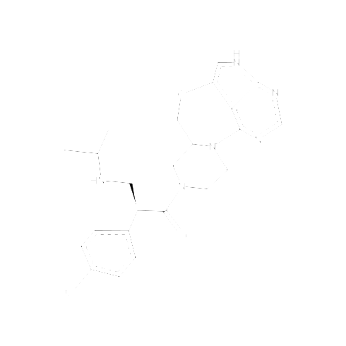 CC(C)NC[C@@H](C(=O)N1CCN2c3ncnc4[nH]cc(c34)OCC2C1)c1ccc(Cl)cc1